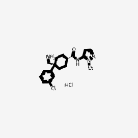 CCn1nccc1NC(=O)[C@H]1CC[C@@](CN)(c2cccc(Cl)c2)CC1.Cl